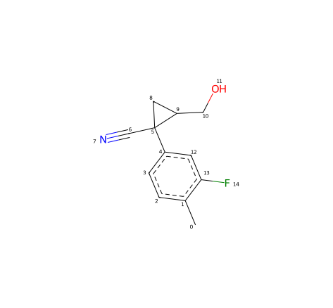 Cc1ccc(C2(C#N)CC2CO)cc1F